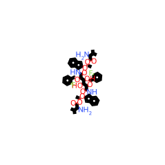 CC(OC(=O)[C@@H](N)C(C)C)O[C@@H]1Cc2ccccc2[C@@H]1NC(=O)[C@H](OCc1ccccc1F)[C@H](O)[C@@H](O)[C@@H](OCc1ccccc1F)C(=O)N[C@H]1c2ccccc2C[C@H]1OC(C)OC(=O)[C@@H](N)C(C)C